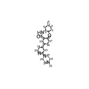 Cc1ccc2c(c1)NC(=O)c1cc(-c3ccnc(N4CCN(C)CC4)c3)ccc1O2